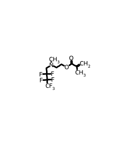 C=C(C)C(=O)OCCN(C)CC(F)(F)C(F)(F)C(F)(F)F